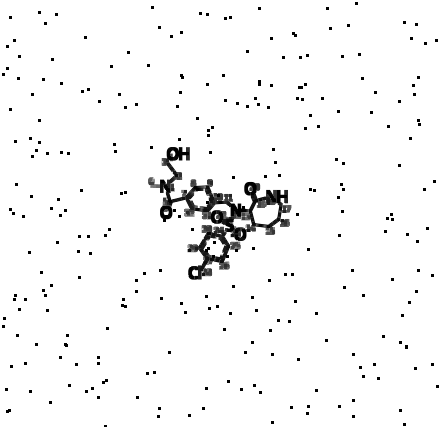 CN(CCO)C(=O)c1ccc(CN([C@@H]2CCCCNC2=O)S(=O)(=O)c2ccc(Cl)cc2)cc1